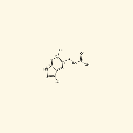 O=C(O)NCc1cc2c(Cl)c[nH]c2cc1F